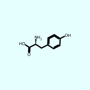 N[C@@H](CC1=C=C=C(O)C=C1)C(=O)O